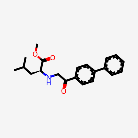 COC(=O)[C@H](CC(C)C)NCC(=O)c1ccc(-c2ccccc2)cc1